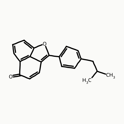 CC(C)Cc1ccc(-c2oc3cccc4c3c2C=CC4=O)cc1